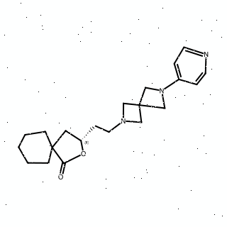 O=C1O[C@@H](CCN2CC3(C2)CN(c2ccncc2)C3)CC12CCCCC2